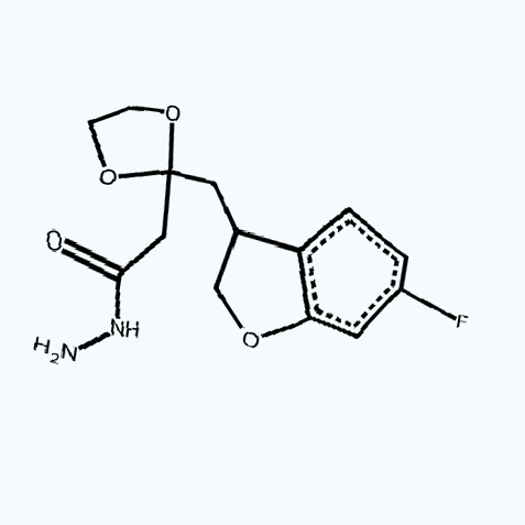 NNC(=O)CC1(CC2COc3cc(F)ccc32)OCCO1